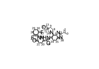 CC(C)c1nc2c(N3CCC4(COC4)C3)c(NC(=O)c3ccc(=O)n(-c4c(F)cccc4F)n3)ccc2n1C